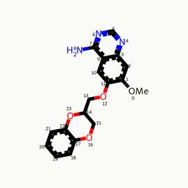 COc1cc2ncnc(N)c2cc1OCC1COc2ccccc2O1